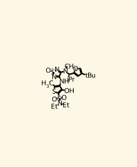 CCN(CC)S(=O)(=O)c1sc(C)c(Nc2n[s+]([O-])nc2N(C)[C@@H](c2cc(C(C)(C)C)co2)C(C)C)c1O